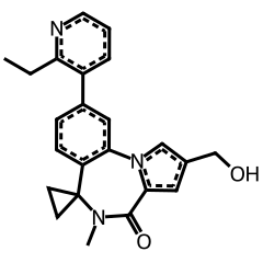 CCc1ncccc1-c1ccc2c(c1)-n1cc(CO)cc1C(=O)N(C)C21CC1